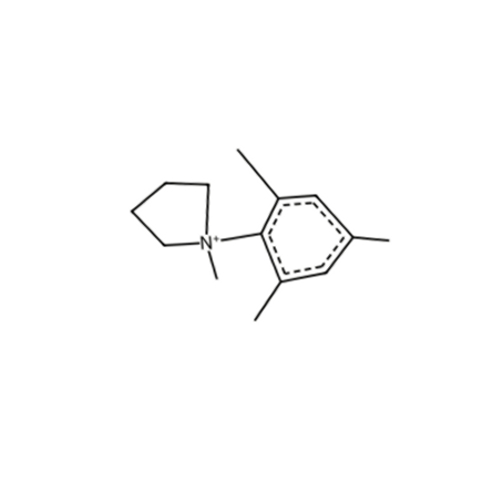 Cc1cc(C)c([N+]2(C)CCCC2)c(C)c1